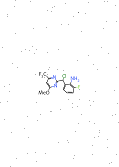 COc1cc(C(F)(F)F)nc(C(Cl)c2cccc(F)c2N)n1